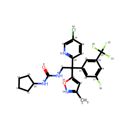 Cc1cc(C(CNC(=O)NC2CCCC2)(c2cc(F)cc(C(F)(F)F)c2)c2ccc(Cl)cn2)on1